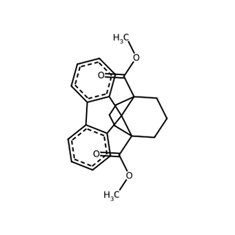 COC(=O)C12CCCC(C(=O)OC)(CCC1)C21c2ccccc2-c2ccccc21